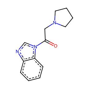 O=C(CN1CCCC1)n1cnc2ccccc21